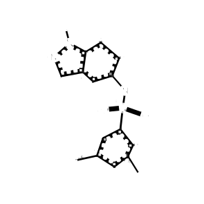 Cn1ncc2cc(NS(=O)(=O)c3cc(Cl)cc(Cl)c3)ccc21